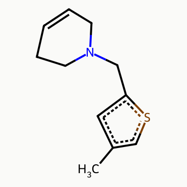 Cc1csc(CN2CC=CCC2)c1